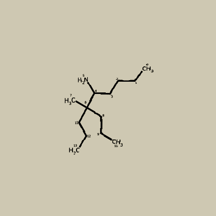 CCCCC(N)C(C)(CCC)CCC